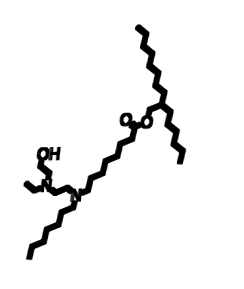 CCCCCCCCC(CCCCCC)COC(=O)CCCCCCCN(CCCCCCC)CCN(CC)CCO